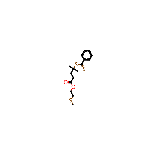 CSCCOC(=O)CCC(C)(C)SC(=S)c1ccccc1